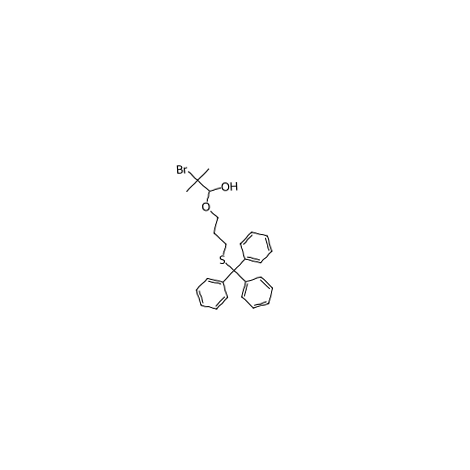 CC(C)(Br)C(O)OCCCSC(c1ccccc1)(c1ccccc1)c1ccccc1